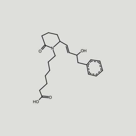 O=C(O)CCCCCCN1C(=O)CCCC1C=CC(O)Cc1ccccc1